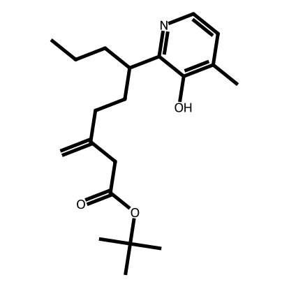 C=C(CCC(CCC)c1nccc(C)c1O)CC(=O)OC(C)(C)C